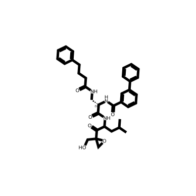 CC(C)CC(NC(=O)[C@H](CNC(=O)CCCc1ccccc1)NC(=O)c1cccc(-c2ccccc2)c1)C(=O)C1(CO)CO1